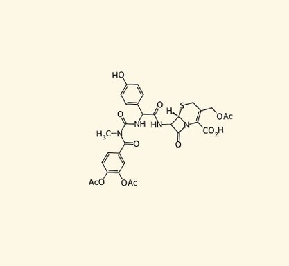 CC(=O)OCC1=C(C(=O)O)N2C(=O)C(NC(=O)C(NC(=O)N(C)C(=O)c3ccc(OC(C)=O)c(OC(C)=O)c3)c3ccc(O)cc3)[C@@H]2SC1